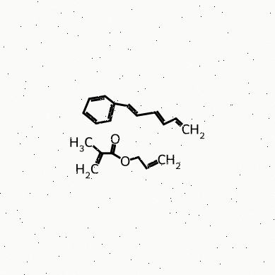 C=CC=CC=Cc1ccccc1.C=CCOC(=O)C(=C)C